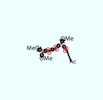 COc1ccc([S+](c2ccc(OC(=O)c3ccc(C(=O)Oc4ccc([S+](c5ccc(OC(=O)CCCCCCCCC(C)=O)cc5)c5cc(C)c(OC)c(C)c5)cc4)cc3)cc2)c2cc(C)c(OC)c(C)c2)cc1